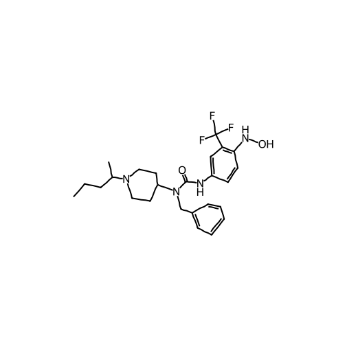 CCCC(C)N1CCC(N(Cc2ccccc2)C(=O)Nc2ccc(NO)c(C(F)(F)F)c2)CC1